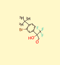 [2H]C([2H])([2H])c1ccc(C(O)(C=O)C(F)(F)F)cc1Br